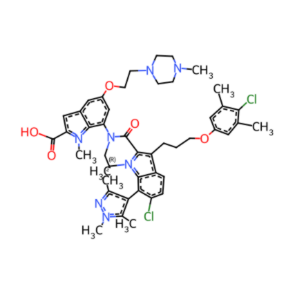 Cc1cc(OCCCc2c3n(c4c(-c5c(C)nn(C)c5C)c(Cl)ccc24)[C@H](C)CN(c2cc(OCCN4CCN(C)CC4)cc4cc(C(=O)O)n(C)c24)C3=O)cc(C)c1Cl